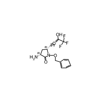 CC(C)[C@H]1C[C@@H](N)C(=O)N1OCc1ccccc1.O=C(O)C(F)(F)F